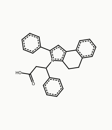 O=C(O)CC(c1ccccc1)n1c(-c2ccccc2)cc2c1CCc1ccccc1-2